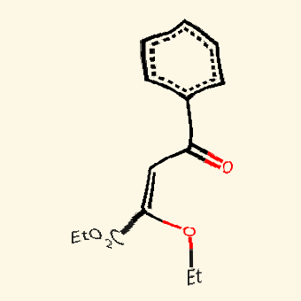 CCOC(=O)C(=CC(=O)c1ccccc1)OCC